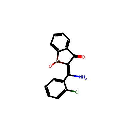 NC(=C1C(=O)c2ccccc2[S+]1[O-])c1ccccc1Cl